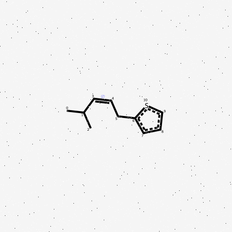 CC(C)/C=C\Cc1cccs1